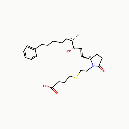 C[C@@H](CCCCCc1ccccc1)[C@@H](O)C=C[C@H]1CCC(=O)N1CCSCCCC(=O)O